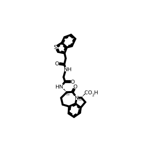 O=C(Cc1csc2ccccc12)NCC(=O)N[C@H]1CCc2cccc3c2N(C1=O)[C@H](C(=O)O)C3